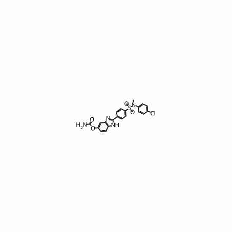 CN(c1ccc(Cl)cc1)S(=O)(=O)c1ccc(-c2nc3cc(OC(N)=O)ccc3[nH]2)cc1